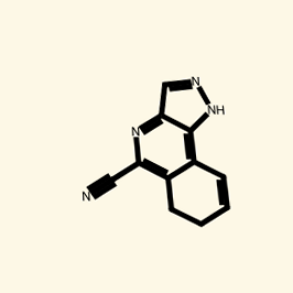 N#Cc1nc2cn[nH]c2c2c1CCC=C2